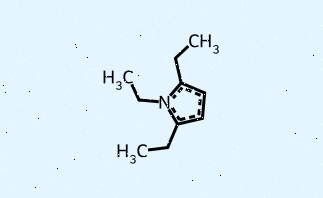 CCc1ccc(CC)n1CC